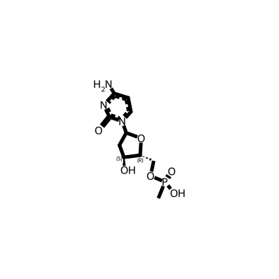 CP(=O)(O)OC[C@H]1OC(n2ccc(N)nc2=O)C[C@@H]1O